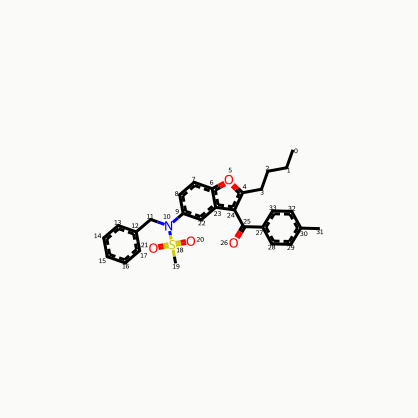 CCCCc1oc2ccc(N(Cc3ccccc3)S(C)(=O)=O)cc2c1C(=O)c1ccc(C)cc1